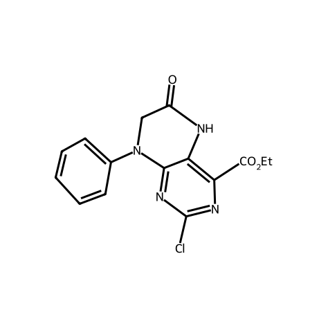 CCOC(=O)c1nc(Cl)nc2c1NC(=O)CN2c1ccccc1